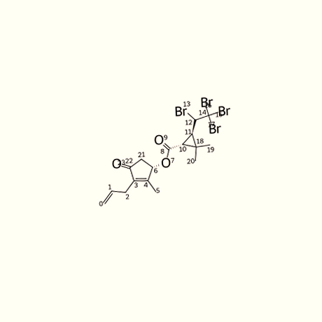 C=CCC1=C(C)[C@@H](OC(=O)[C@@H]2[C@@H](C(Br)C(Br)(Br)Br)C2(C)C)CC1=O